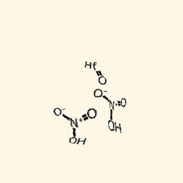 O=[N+]([O-])O.O=[N+]([O-])O.[O]=[Hf]